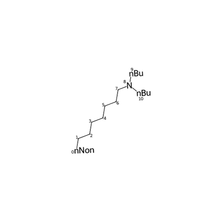 [CH2]CCCCCCCCCCCCCCCN(CCCC)CCCC